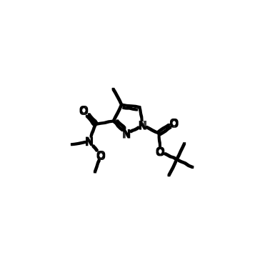 CON(C)C(=O)c1nn(C(=O)OC(C)(C)C)cc1C